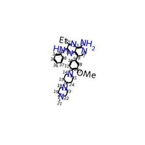 CCc1nc2c(N)ncc(-c3ccc(N4CCC(N5CCN(C)CC5)CC4)c(OC)c3)c2nc1Nc1ccccc1